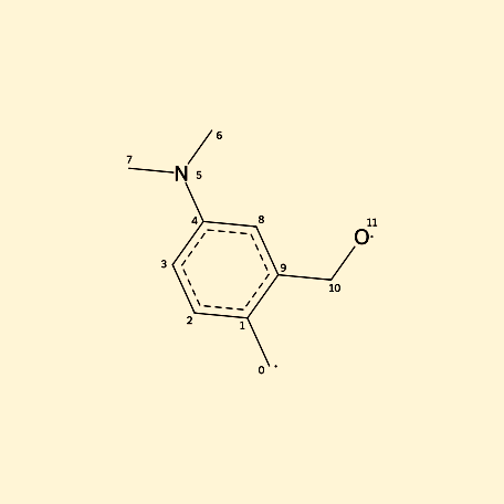 [CH2]c1ccc(N(C)C)cc1C[O]